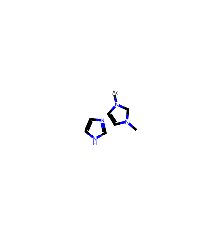 CC(=O)N1C=CN(C)C1.c1c[nH]cn1